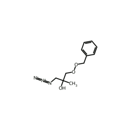 CC(O)(CN=[N+]=[N-])COOCc1ccccc1